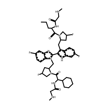 CCCC(NC(=O)CNC)C(=O)N1CC(F)CC1Cc1c(-c2nc3cc(F)ccc3n2CC2CC(F)CN2C(=O)C(NC(=O)CNC)C2CCCCC2)[nH]c2cc(F)ccc12